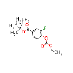 CCOC(=O)Oc1ccc(B2OC(C)(C)C(C)(C)O2)cc1F